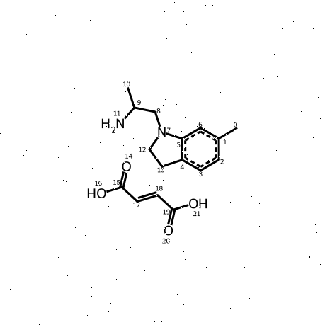 Cc1ccc2c(c1)N(CC(C)N)CC2.O=C(O)C=CC(=O)O